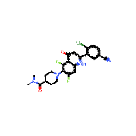 CN(C)C(=O)C1CCN(c2c(F)cc3[nH]c(-c4cc(C#N)ccc4Cl)cc(=O)c3c2F)CC1